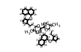 CN(C)[C@H](CCc1sccc1Oc1cccc2ccccc12)OC(=O)C(=O)O[C@@H](CCc1sccc1Oc1cccc2ccccc12)N(C)C